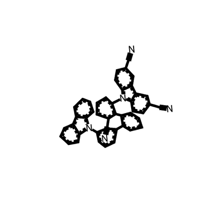 N#Cc1ccc2c(c1)c1cc(C#N)ccc1n2-c1cccc(C#N)c1-c1ccccc1-c1cccc(-n2c3ccccc3c3ccccc32)c1